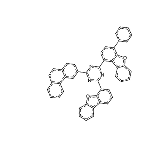 c1ccc(-c2ccc(-c3nc(-c4ccc5ccc6ccccc6c5c4)nc(-c4cccc5c4oc4ccccc45)n3)c3c2oc2ccccc23)cc1